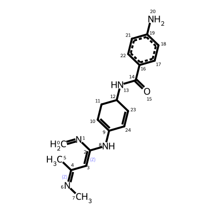 C=N/C(=C\C(C)=N/C)NC1=CCC(NC(=O)c2ccc(N)cc2)C=C1